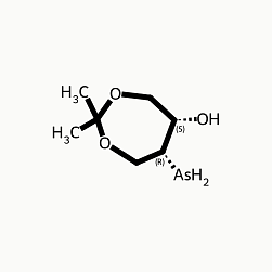 CC1(C)OC[C@@H]([AsH2])[C@@H](O)CO1